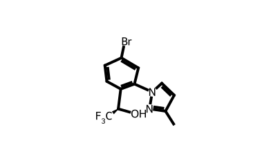 Cc1ccn(-c2cc(Br)ccc2[C@@H](O)C(F)(F)F)n1